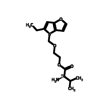 CCc1cc2occc2n1COCCOC(=O)[C@@H](N)C(C)C